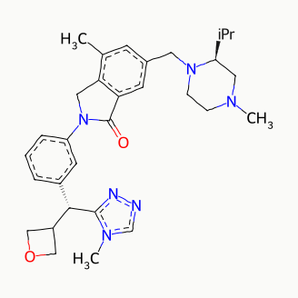 Cc1cc(CN2CCN(C)C[C@@H]2C(C)C)cc2c1CN(c1cccc([C@H](c3nncn3C)C3COC3)c1)C2=O